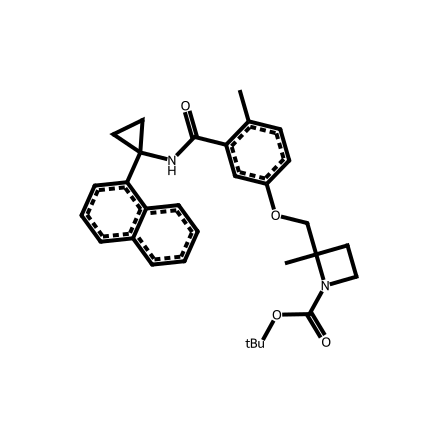 Cc1ccc(OCC2(C)CCN2C(=O)OC(C)(C)C)cc1C(=O)NC1(c2cccc3ccccc23)CC1